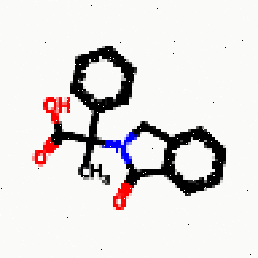 CC(C(=O)O)(c1ccccc1)N1Cc2ccccc2C1=O